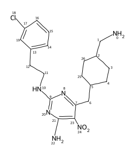 NCC1CCC(Cc2nc(NCCc3cccc(Cl)c3)nc(N)c2[N+](=O)[O-])CC1